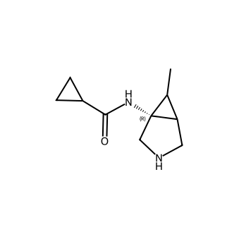 CC1C2CNC[C@@]12NC(=O)C1CC1